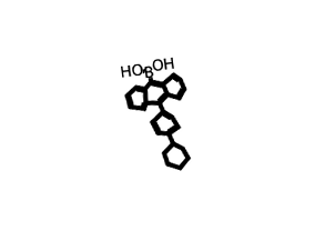 OB(O)c1c2ccccc2c(-c2ccc(C3CCCCC3)cc2)c2ccccc12